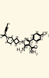 CC#CC(=O)N1CC[C@]2(C1)C[C@H](n1nc(-c3ccc(C(F)(F)F)cc3)c(C(N)=O)c1N)C2